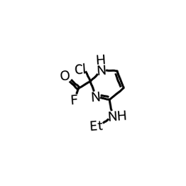 CCNC1=NC(Cl)(C(=O)F)NC=C1